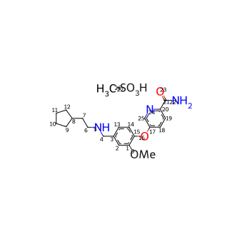 COc1cc(CNCCC2CCCC2)ccc1Oc1ccc(C(N)=O)nc1.CS(=O)(=O)O